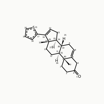 C[C@]12CCC(=O)CC1=CC[C@@H]1[C@@H]2CC[C@]2(C)C(c3cccs3)=CC[C@@H]12